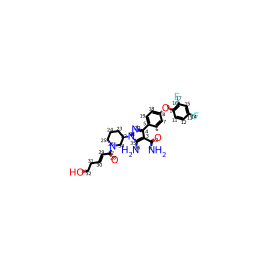 NC(=O)c1c(-c2ccc(Oc3ccc(F)cc3F)cc2)nn([C@@H]2CCCN(C(=O)C=CCCO)C2)c1N